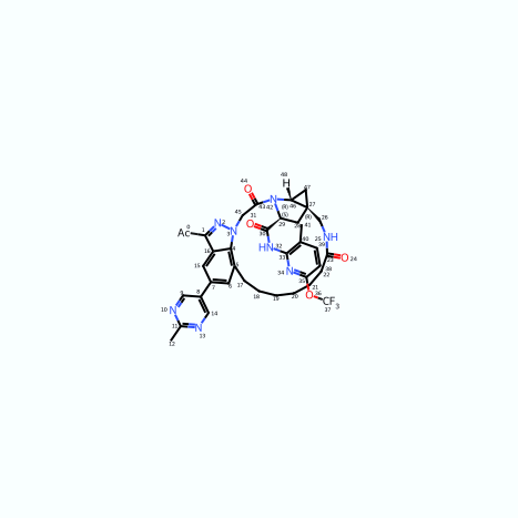 CC(=O)c1nn2c3c(cc(-c4cnc(C)nc4)cc13)CCCCCCC(=O)NC[C@@]13C[C@@H](C(=O)Nc4nc(OC(F)(F)F)ccc4C)N(C(=O)C2)[C@@H]1C3